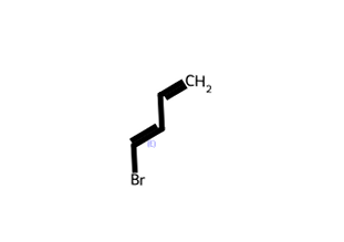 C=C/C=C/Br